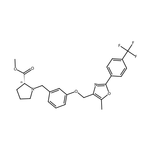 COC(=O)[C@H]1CCCN1Cc1cccc(OCc2nc(-c3ccc(C(F)(F)F)cc3)oc2C)c1